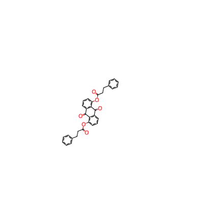 O=C(CCc1ccccc1)Oc1cccc2c1C(=O)c1cccc(OC(=O)CCc3ccccc3)c1C2=O